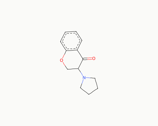 O=C1c2ccccc2OCC1N1CCCC1